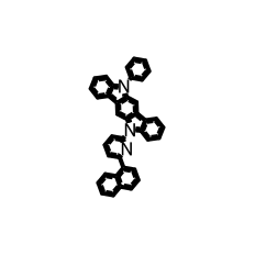 c1ccc(-n2c3ccccc3c3cc4c(cc32)c2ccccc2n4-c2cccc(-c3cccc4ccccc34)n2)cc1